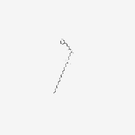 CCC=CCC=CCC=CCC=CCC=CCCCC(=O)NCCCC[C@H](NC(=O)CC=Cc1cccnc1)C(=O)O